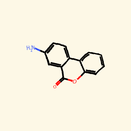 Nc1ccc2c(c1)c(=O)oc1ccccc12